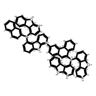 c1ccc2cc(N(c3cccc4oc5c(ccc[n+]5-c5ccc6cc(N(c7cccc8oc9cnccc9c78)c7ccnc8oc9ccccc9c78)c7ccccc7c6c5)c34)c3ccnc4oc5ccccc5c34)ccc2c1